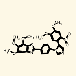 COc1cc(-c2cncn2-c2ccc(-c3nc4cc(OC)c(OC)c(OC)c4s3)cc2)c([N+](=O)[O-])cc1OC